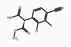 COC(=O)[C@@H](C(=O)O)c1ccc(C#N)c(F)c1Cl